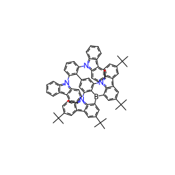 CC(C)(C)c1ccc2c(c1)c1cc(C(C)(C)C)cc3c1n2-c1cc(-c2c(-n4c5ccccc5c5ccccc54)cccc2-n2c4ccccc4c4ccccc42)cc2c1B3c1cc(C(C)(C)C)cc3c4cc(C(C)(C)C)ccc4n-2c13